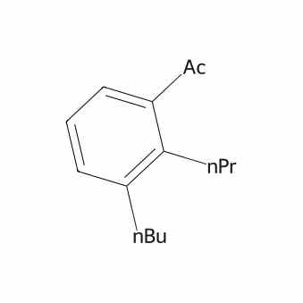 CCCCc1cccc(C(C)=O)c1CCC